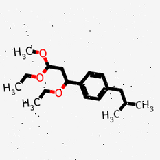 CCOC(CC(OCC)c1ccc(CC(C)C)cc1)OC